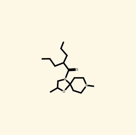 CCCC(CCC)C(=O)N1CC(C)OC12CCN(C)CC2